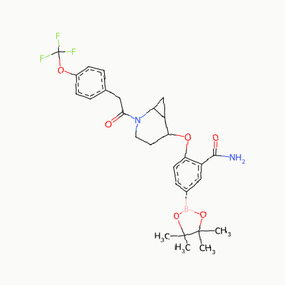 CC1(C)OB(c2ccc(OC3CCN(C(=O)Cc4ccc(OC(F)(F)F)cc4)C4CC34)c(C(N)=O)c2)OC1(C)C